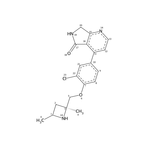 CC1C[C@@](C)(COc2ccc(-c3ccnc4c3C(=O)NC4)cc2Cl)N1